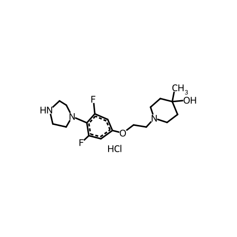 CC1(O)CCN(CCOc2cc(F)c(N3CCNCC3)c(F)c2)CC1.Cl